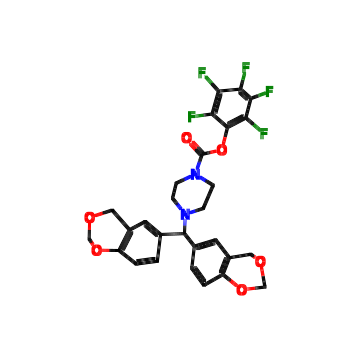 O=C(Oc1c(F)c(F)c(F)c(F)c1F)N1CCN(C(c2ccc3c(c2)COCO3)c2ccc3c(c2)COCO3)CC1